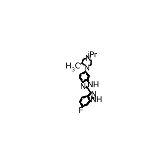 CC(C)N1CCN(c2ccc3nc(-c4n[nH]c5cc(F)ccc45)[nH]c3c2)[C@@H](C)C1